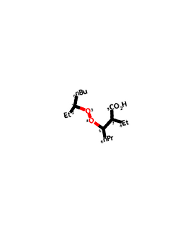 CCCCC(CC)OOC(CCC)C(CC)C(=O)O